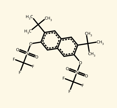 CC(C)(C)c1cc2cc(C(C)(C)C)c(OS(=O)(=O)C(F)(F)F)cc2cc1OS(=O)(=O)C(F)(F)F